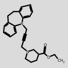 CCOC(=O)C1CCCN(CC#CCN2c3ccccc3CCc3ccccc32)C1